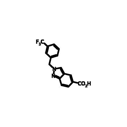 O=C(O)c1ccc2nn(Cc3cccc(C(F)(F)F)c3)cc2c1